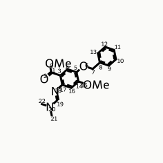 COC(=O)c1cc(OCc2ccccc2)c(OC)cc1N=CN(C)C